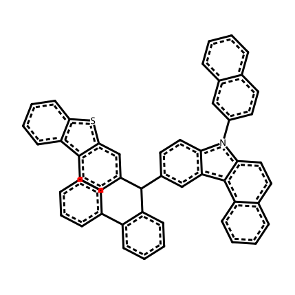 c1ccc(-c2ccccc2C(c2ccc3c(c2)sc2ccccc23)c2ccc3c(c2)c2c4ccccc4ccc2n3-c2ccc3ccccc3c2)cc1